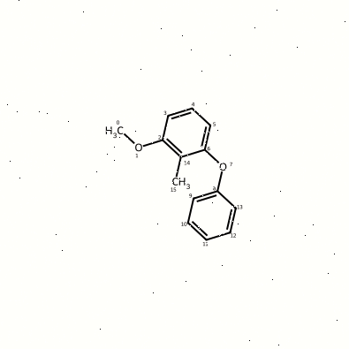 COc1cccc(Oc2ccccc2)c1C